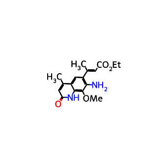 CCOC(=O)/C=C(\C)c1cc2c(C)cc(=O)[nH]c2c(OC)c1N